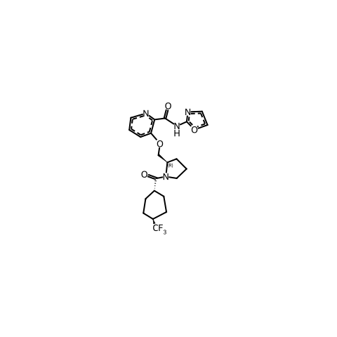 O=C(Nc1ncco1)c1ncccc1OC[C@H]1CCCN1C(=O)[C@H]1CC[C@H](C(F)(F)F)CC1